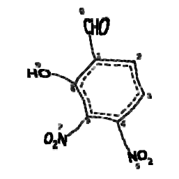 O=Cc1ccc([N+](=O)[O-])c([N+](=O)[O-])c1O